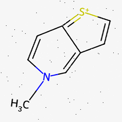 Cn1ccc2[s+]ccc-2c1